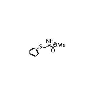 COC(=O)[C@@H](N)CSc1ccccc1